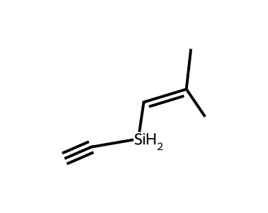 C#C[SiH2]C=C(C)C